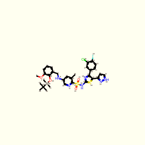 COc1cccc(CNc2cnc(S(=O)(=O)Nc3nc(-c4ccc(F)c(Cl)c4)c(-c4cc[nH]n4)s3)c(C)c2)c1O[Si](C)(C)C(C)(C)C